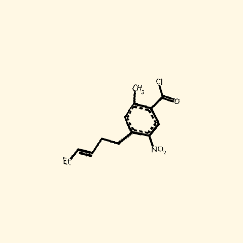 CC/C=C/CCc1cc(C)c(C(=O)Cl)cc1[N+](=O)[O-]